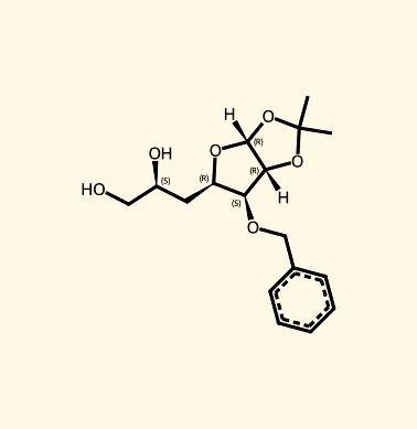 CC1(C)O[C@H]2O[C@H](C[C@H](O)CO)[C@H](OCc3ccccc3)[C@H]2O1